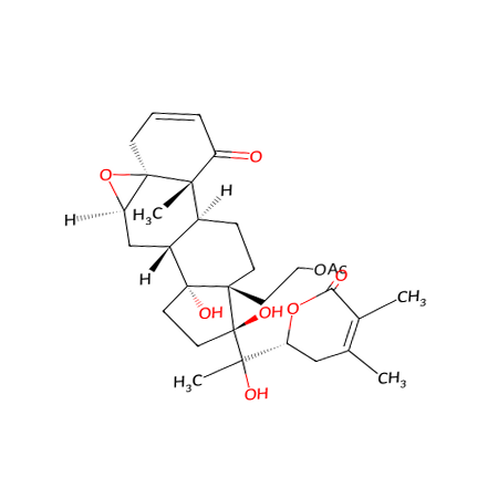 CC(=O)OCC[C@]12CC[C@H]3[C@@H](C[C@H]4O[C@]45CC=CC(=O)[C@]35C)[C@]1(O)CC[C@@]2(O)C(C)(O)[C@H]1CC(C)=C(C)C(=O)O1